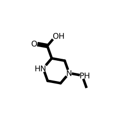 CPN1CCNC(C(=O)O)C1